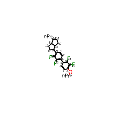 CCCOc1ccc(-c2ccc(C3CCC4C(CCC)CCC34)c(F)c2F)c(F)c1F